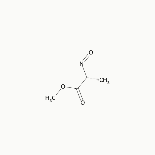 COC(=O)[C@@H](C)N=O